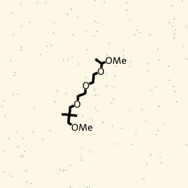 COCC(C)(C)COCCOCCOC(C)OC